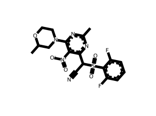 Cc1nc(C(C#N)S(=O)(=O)c2c(F)cccc2F)c([N+](=O)[O-])c(N2CCOC(C)C2)n1